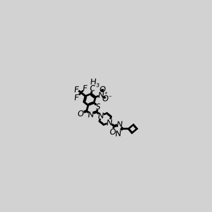 Cc1c(C(F)(F)F)cc2c(=O)nc(N3CCN(c4nc(C5CCC5)no4)CC3)sc2c1[N+](=O)[O-]